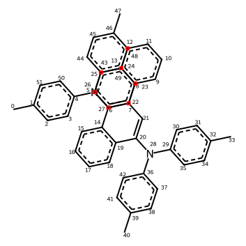 Cc1ccc(N(C(=Cc2ccccc2)c2ccccc2C(=Cc2ccccc2)N(c2ccc(C)cc2)c2ccc(C)cc2)c2ccc(C)cc2)cc1